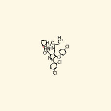 CCC(C)NCc1c(C(=O)NC2CC3CCC2C3)nn(-c2ccc(Cl)cc2Cl)c1Oc1ccc(Cl)cc1